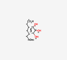 C=C.CCCCCCCCCCCCCCCC(=O)O.OCC(O)CO